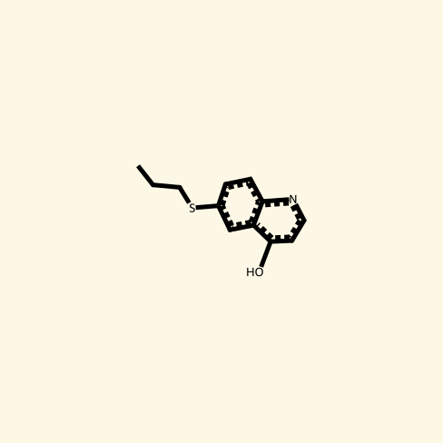 CCCSc1ccc2nccc(O)c2c1